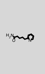 NC(=O)CCCCc1ccccn1